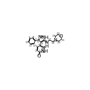 O=c1ccc(-c2c(-c3ccccc3)n[nH]c2NCCN2CCOCC2)n[nH]1